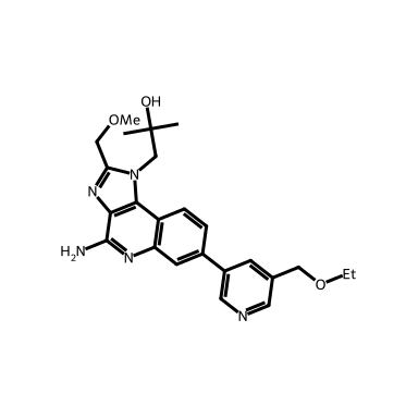 CCOCc1cncc(-c2ccc3c(c2)nc(N)c2nc(COC)n(CC(C)(C)O)c23)c1